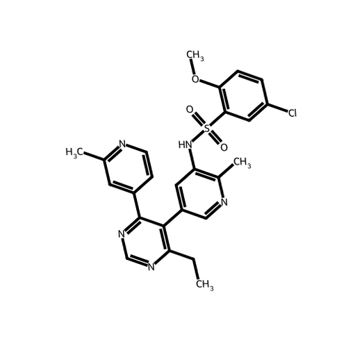 CCc1ncnc(-c2ccnc(C)c2)c1-c1cnc(C)c(NS(=O)(=O)c2cc(Cl)ccc2OC)c1